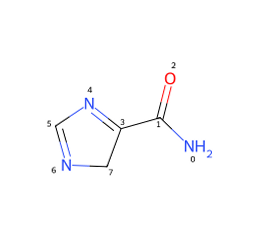 NC(=O)C1=NC=NC1